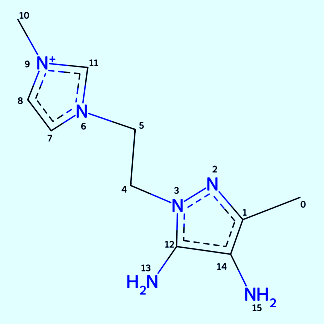 Cc1nn(CCn2cc[n+](C)c2)c(N)c1N